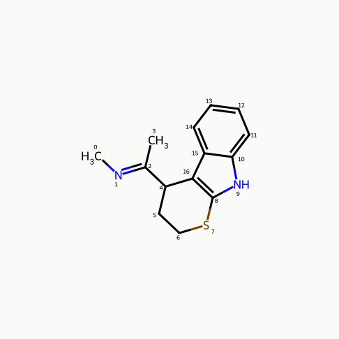 C/N=C(\C)C1CCSc2[nH]c3ccccc3c21